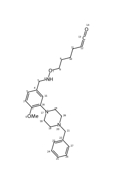 COc1ccc(CNOCCCCC=C=O)cc1N1CCN(Cc2ccccc2)CC1